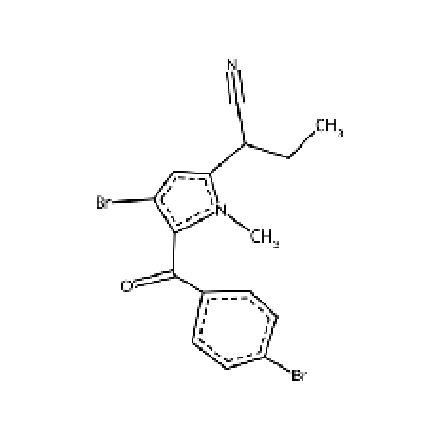 CCC(C#N)c1cc(Br)c(C(=O)c2ccc(Br)cc2)n1C